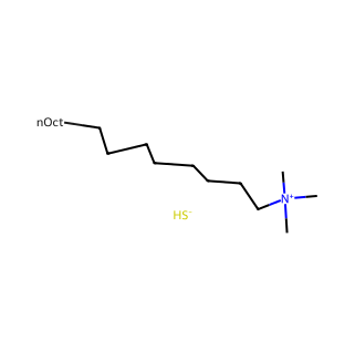 CCCCCCCCCCCCCCCC[N+](C)(C)C.[SH-]